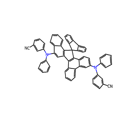 N#Cc1cccc(N(c2ccccc2)c2ccc3c4c(c5ccccc5c3c2)-c2cc(N(c3ccccc3)c3cccc(C#N)c3)c3ccccc3c2C42c3ccccc3-c3ccccc32)c1